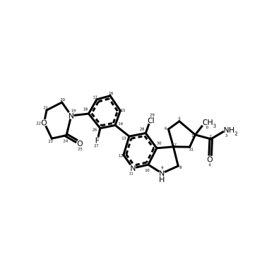 CC1(C(N)=O)CCC2(CNc3ncc(-c4cccc(N5CCOCC5=O)c4F)c(Cl)c32)C1